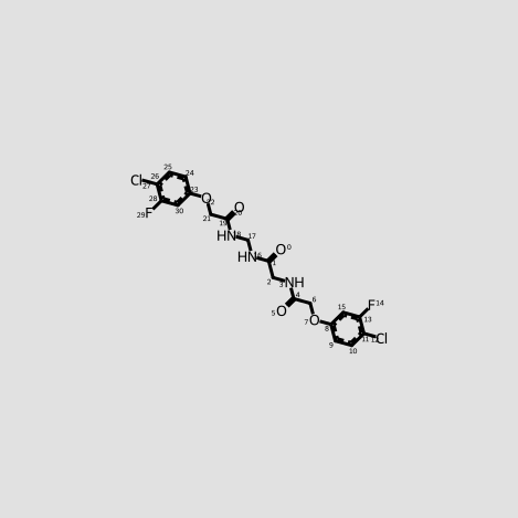 O=C(CNC(=O)COc1ccc(Cl)c(F)c1)NCNC(=O)COc1ccc(Cl)c(F)c1